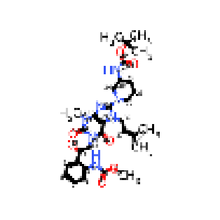 COC(=O)Nc1ccccc1C(=O)Cn1c(=O)c2c(nc(N3CCCC(NC(=O)OC(C)(C)C)C3)n2CC=C(C)C)n(C)c1=O